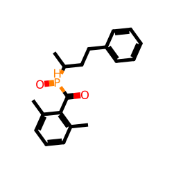 Cc1cccc(C)c1C(=O)[PH](=O)C(C)CCc1ccccc1